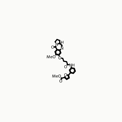 COC(=O)c1ccc(-c2cccc(NC(=O)CCCOc3cc4c(cc3OC)C(=O)N3CCC[C@H]3C=N4)c2)o1